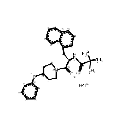 CC(C)(N)C(=O)N[C@H](Cc1cccc2ccccc12)C(=O)N1CCC(Oc2ccccc2)CC1.Cl